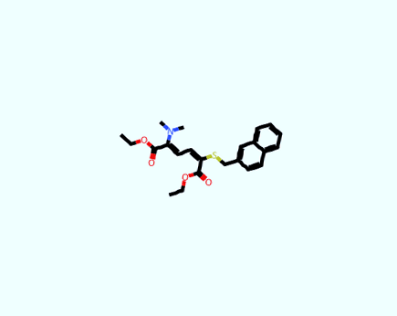 CCOC(=O)C(=CC=C(C(=O)OCC)N(C)C)SCc1ccc2ccccc2c1